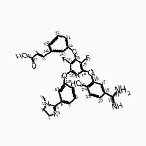 CN1CCN=C1c1cccc(Oc2nc(Oc3cc(C(=N)N)ccc3O)c(F)c(Oc3cccc(/C=C/C(=O)O)c3)c2F)c1